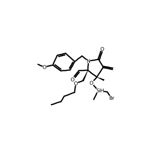 C=C1C(=O)N(Cc2ccc(OC)cc2)[C@](C=O)(COCCCC)[C@@]1(C)O[SiH](C)CBr